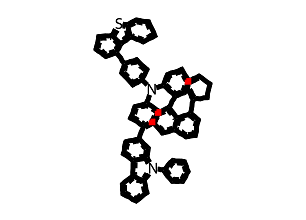 C1=CCCC(c2cccc3cccc(-c4ccccc4N(c4ccc(-c5ccc6c7ccccc7n(-c7ccccc7)c6c5)cc4)c4ccc(-c5cccc6sc7ccccc7c56)cc4)c23)=C1